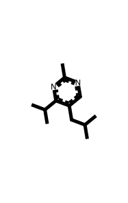 Cc1ncc(CC(C)C)c(C(C)C)n1